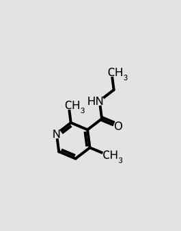 CCNC(=O)c1c(C)ccnc1C